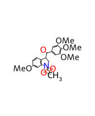 COc1ccc2c(c1)N(S(C)(=O)=O)CC2C(=O)c1cc(OC)c(OC)c(OC)c1